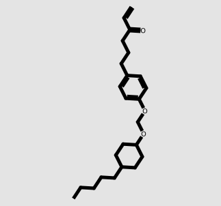 C=CC(=O)CCCc1ccc(OCOC2CCC(CCCCC)CC2)cc1